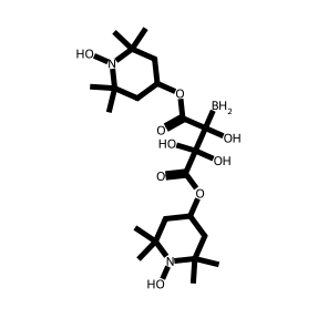 BC(O)(C(=O)OC1CC(C)(C)N(O)C(C)(C)C1)C(O)(O)C(=O)OC1CC(C)(C)N(O)C(C)(C)C1